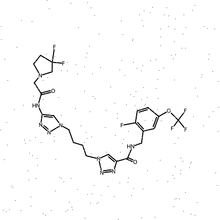 O=C(CN1CCC(F)(F)C1)Nc1cn(CCCCn2cc(C(=O)NCc3cc(OC(F)(F)F)ccc3F)nn2)nn1